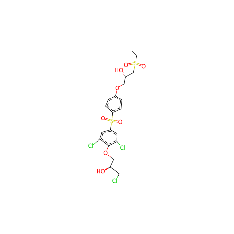 CCS(=O)(=O)C[C@@H](O)COc1ccc(S(=O)(=O)c2cc(Cl)c(OC[C@H](O)CCl)c(Cl)c2)cc1